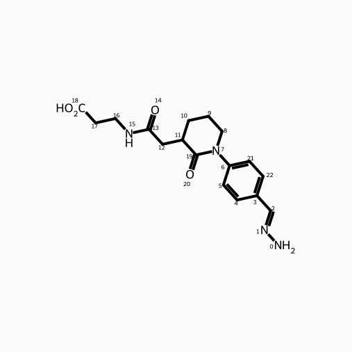 NN=Cc1ccc(N2CCCC(CC(=O)NCCC(=O)O)C2=O)cc1